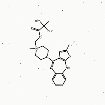 CCCC(C)(CCC)C(=O)OC[N+]1(C)CCN(C2=Nc3ccccc3Nc3sc(C)cc32)CC1.[I-]